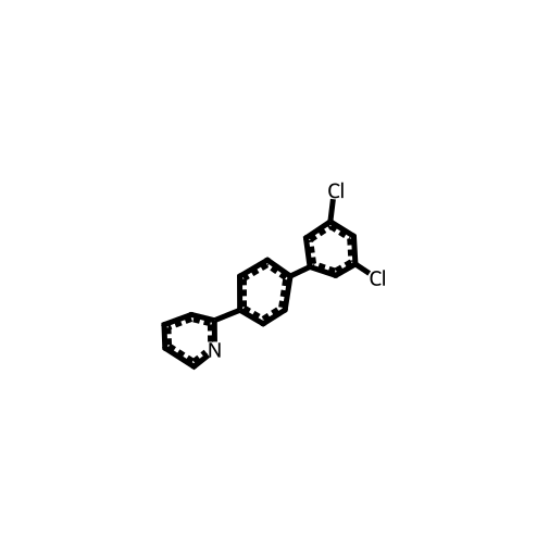 Clc1cc(Cl)cc(-c2ccc(-c3ccccn3)cc2)c1